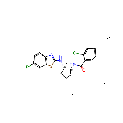 O=C(N[C@@H]1CCC[C@@H]1Nc1nc2ccc(F)cc2s1)c1ccccc1Cl